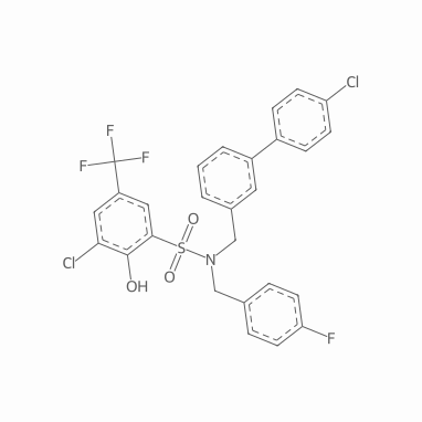 O=S(=O)(c1cc(C(F)(F)F)cc(Cl)c1O)N(Cc1ccc(F)cc1)Cc1cccc(-c2ccc(Cl)cc2)c1